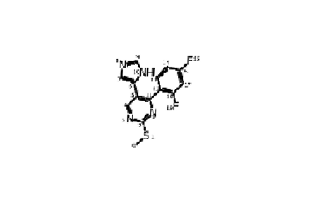 CSc1ncc(-c2cnc[nH]2)c(-c2ccc(F)cc2F)n1